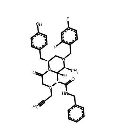 C#CCN1CC(=O)N2[C@@H](Cc3ccc(O)cc3)CN(Cc3ccc(F)cc3F)[C@@H](C)[C@@H]2N1C(=O)NCc1ccccc1